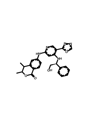 CC1OC(=O)c2ccc(Nc3cc(N[C@H](CO)c4ccccc4)c(-c4nnco4)cn3)cc2C1C